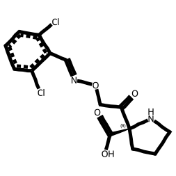 O=C(O)[C@]1(C(=O)CON=Cc2c(Cl)cccc2Cl)CCCN1